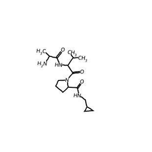 CC(N)C(=O)NC(C(=O)N1CCCC1C(=O)NCC1CC1)C(C)C